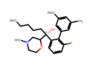 COCCCC[C@@](O)(c1cccc(F)c1-c1cc(C)cc(OC)c1)C1CN(C=O)CCO1